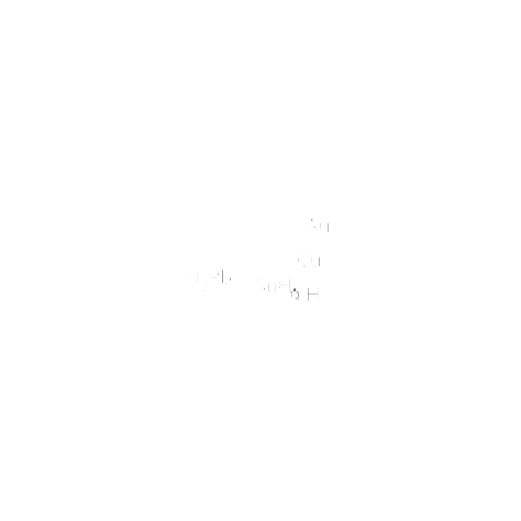 [AlH3].[Au].[Cu].[PbH2].[SnH2]